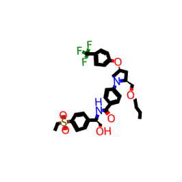 CCCCOC[C@@H]1C[C@@H](Oc2ccc(C(F)(F)F)cc2)CN1c1ccc(C(=O)N[C@@H](CO)c2ccc(S(=O)(=O)CC)cc2)cc1